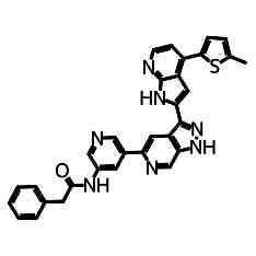 Cc1ccc(-c2ccnc3[nH]c(-c4n[nH]c5cnc(-c6cncc(NC(=O)Cc7ccccc7)c6)cc45)cc23)s1